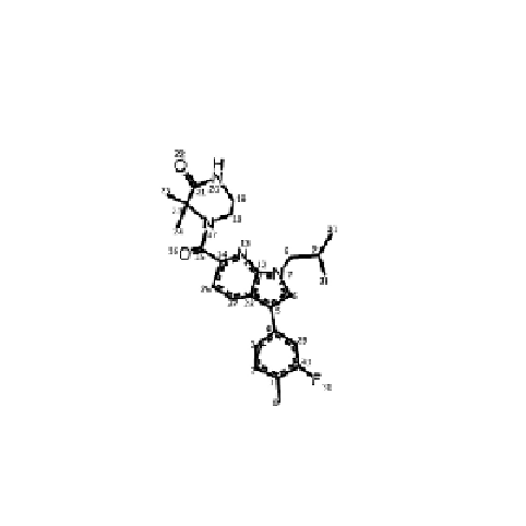 Cc1ccc(-c2cn(CC(C)C)c3nc(C(=O)N4CCNC(=O)C4(C)C)ccc23)cc1F